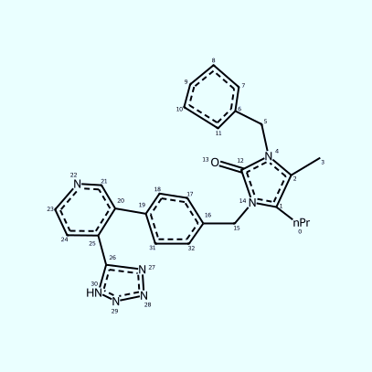 CCCc1c(C)n(Cc2ccccc2)c(=O)n1Cc1ccc(-c2cnccc2-c2nnn[nH]2)cc1